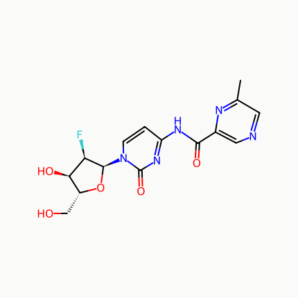 Cc1cncc(C(=O)Nc2ccn([C@H]3O[C@H](CO)[C@@H](O)[C@H]3F)c(=O)n2)n1